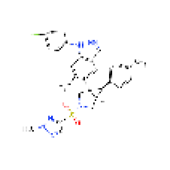 Cc1ccc([C@H]2[C@H]3CN(S(=O)(=O)c4cnn(C)n4)C[C@]32c2cc(C=N)c(Nc3ccc(F)cc3)cc2C)cc1